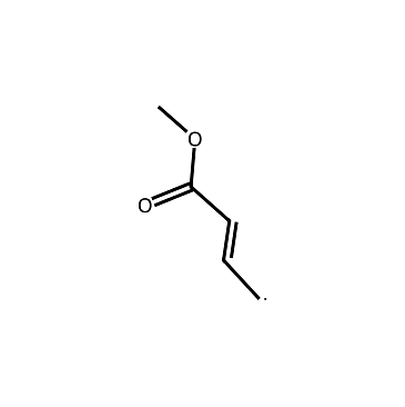 [CH2]C=CC(=O)OC